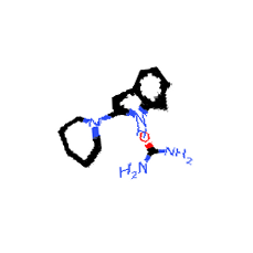 NC(N)=O.c1ccc2[nH]c(N3CCCCC3)cc2c1